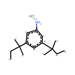 CCC(C)(C)c1[c]c(N)cc(C(C)(C)CC)c1.Cl